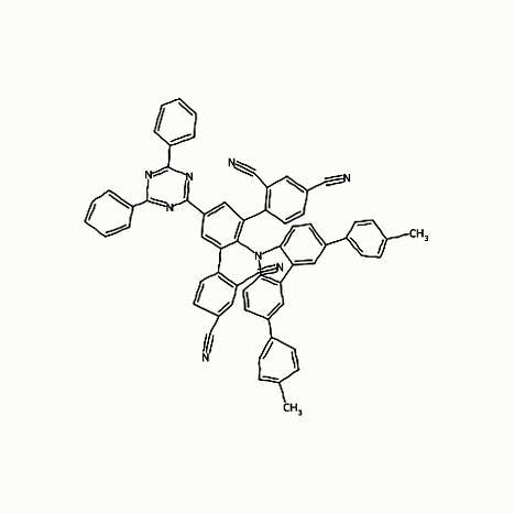 Cc1ccc(-c2ccc3c(c2)c2cc(-c4ccc(C)cc4)ccc2n3-c2c(-c3ccc(C#N)cc3C#N)cc(-c3nc(-c4ccccc4)nc(-c4ccccc4)n3)cc2-c2ccc(C#N)cc2C#N)cc1